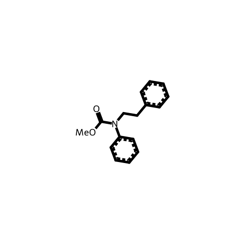 COC(=O)N(CCc1ccccc1)c1ccccc1